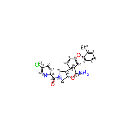 CCc1ccccc1Oc1ccc(C2CCN(C(=O)c3ccc(Cl)cn3)C2)c(C(N)=O)c1